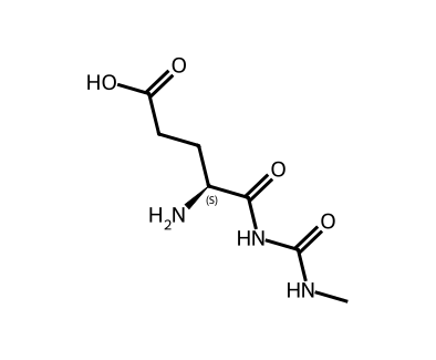 CNC(=O)NC(=O)[C@@H](N)CCC(=O)O